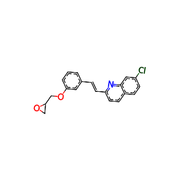 Clc1ccc2ccc(C=Cc3cccc(OCC4CO4)c3)nc2c1